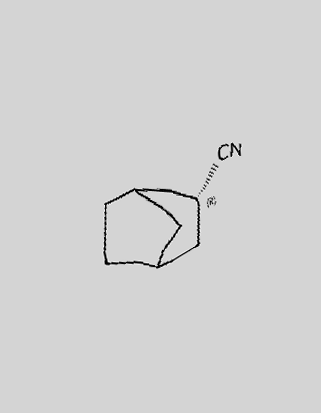 N#C[C@@H]1CC2CCC1C2